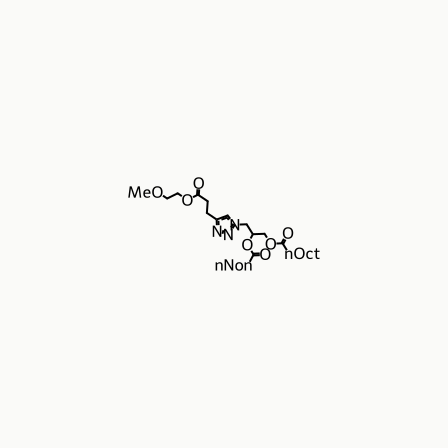 CCCCCCCCCC(=O)OC(COC(=O)CCCCCCCC)Cn1cc(CCC(=O)OCCOC)nn1